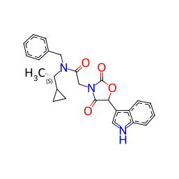 C[C@@H](C1CC1)N(Cc1ccccc1)C(=O)CN1C(=O)OC(c2c[nH]c3ccccc23)C1=O